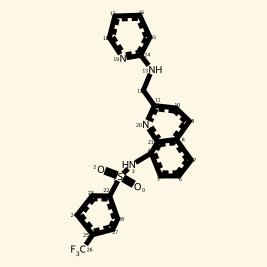 O=S(=O)(Nc1cccc2ccc(CNc3ccccn3)nc12)c1ccc(C(F)(F)F)cc1